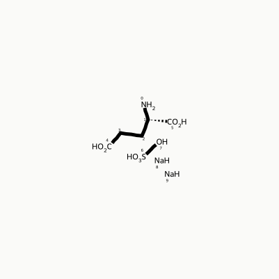 N[C@@H](CCC(=O)O)C(=O)O.O=S(=O)(O)O.[NaH].[NaH]